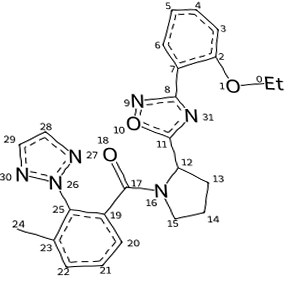 CCOc1ccccc1-c1noc(C2CCCN2C(=O)c2cccc(C)c2-n2nccn2)n1